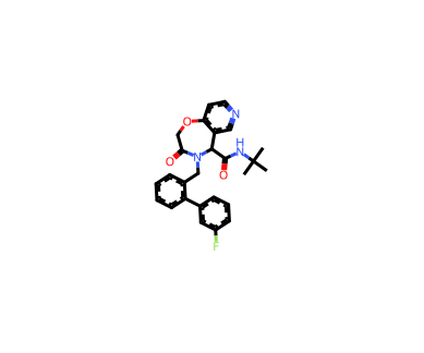 CC(C)(C)NC(=O)C1c2cnccc2OCC(=O)N1Cc1ccccc1-c1cccc(F)c1